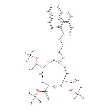 CC(C)(C)OC(=O)N1CCN(CCCCc2ccc3ccc4cccc5ccc2c3c45)CCN(C(=O)OC(C)(C)C)CCN(C(=O)OC(C)(C)C)CC1